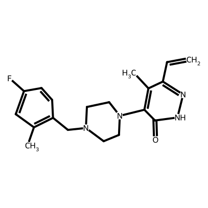 C=Cc1n[nH]c(=O)c(N2CCN(Cc3ccc(F)cc3C)CC2)c1C